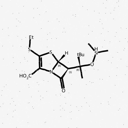 CCSC1=C(C(=O)O)N2C(=O)[C@H]([C@@](C)(O[SiH](C)C)C(C)(C)C)[C@H]2S1